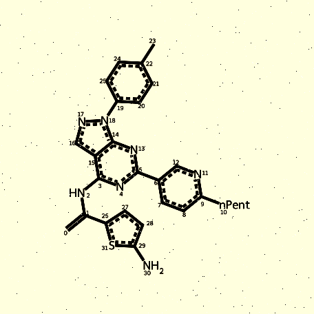 C=C(Nc1nc(-c2ccc(CCCCC)nc2)nc2c1cnn2-c1ccc(C)cc1)c1ccc(N)s1